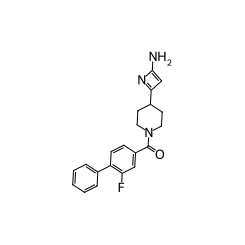 NC1=CC(C2CCN(C(=O)c3ccc(-c4ccccc4)c(F)c3)CC2)=N1